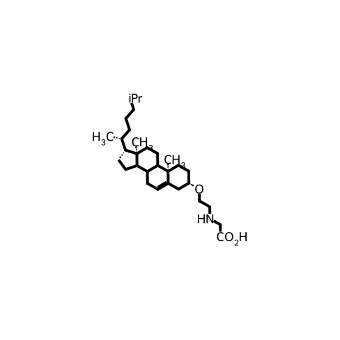 CC(C)CCC[C@@H](C)[C@H]1CCC2C3CC=C4C[C@@H](OCCNCC(=O)O)CC[C@]4(C)C3CC[C@@]21C